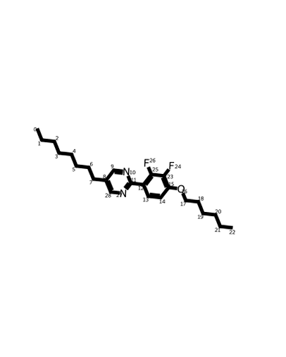 CCCCCCCCc1cnc(-c2ccc(OCCCCCC)c(F)c2F)nc1